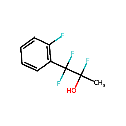 CC(O)(F)C(F)(F)c1ccc[c]c1F